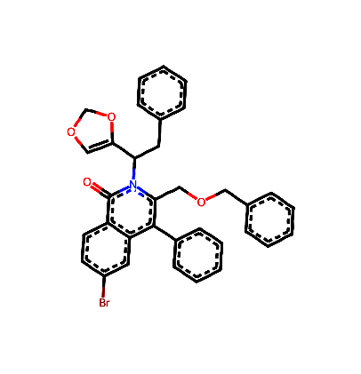 O=c1c2ccc(Br)cc2c(-c2ccccc2)c(COCc2ccccc2)n1C(Cc1ccccc1)C1=COCO1